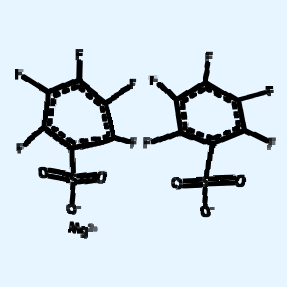 O=S(=O)([O-])c1c(F)c(F)c(F)c(F)c1F.O=S(=O)([O-])c1c(F)c(F)c(F)c(F)c1F.[Mg+2]